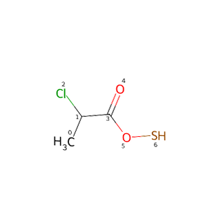 CC(Cl)C(=O)OS